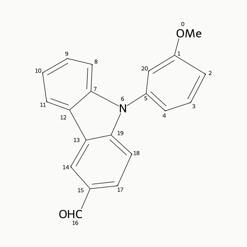 COc1cccc(-n2c3ccccc3c3cc(C=O)ccc32)c1